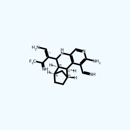 N=Cc1c(N)ncc2c1[C@H]1[C@@H]3CC[C@H](C3)[C@H]1C(/C(=C/N)C(=N)C(F)(F)F)N2